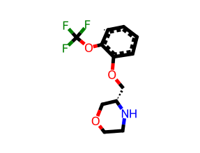 FC(F)(F)Oc1[c]cccc1OC[C@H]1COCCN1